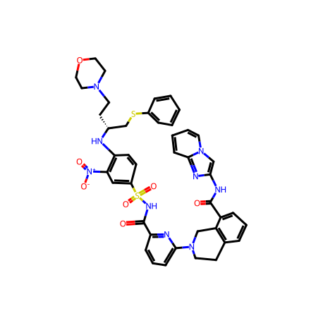 O=C(NS(=O)(=O)c1ccc(N[C@H](CCN2CCOCC2)CSc2ccccc2)c([N+](=O)[O-])c1)c1cccc(N2CCc3cccc(C(=O)Nc4cn5ccccc5n4)c3C2)n1